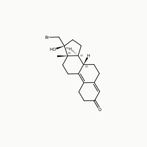 C[C@]12CCC3=C4CCC(=O)C=C4CC[C@H]3[C@@H]1CC[C@@]2(O)CBr